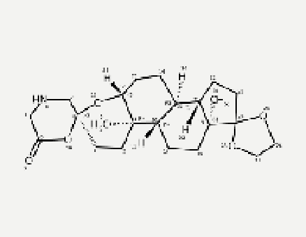 C[C@]12CC[C@]3(CNCC(=O)O3)C[C@@H]1CC[C@@H]1[C@@H]2CC[C@@]2(C)[C@H]1CCC21OCCO1